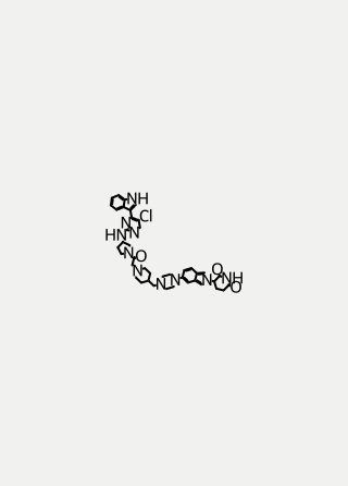 O=C1CCC(n2cc3ccc(N4CCN(CC5CCN(CC(=O)N6CCC(Nc7ncc(Cl)c(-c8c[nH]c9ccccc89)n7)C6)CC5)CC4)cc3c2)C(=O)N1